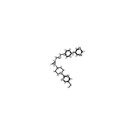 CCc1cnc(N2CCC([C@H]3C[C@H]3COCc3ccc(-c4cncnc4)cc3)CC2)nc1